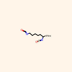 CCCCCCC(CCCCCN=C=O)N=C=O